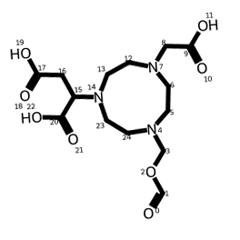 O=COCN1CCN(CC(=O)O)CCN(C(CC(=O)O)C(=O)O)CC1